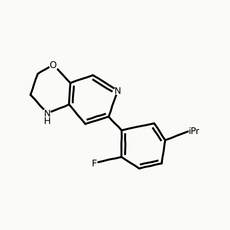 CC(C)c1ccc(F)c(-c2cc3c(cn2)OCCN3)c1